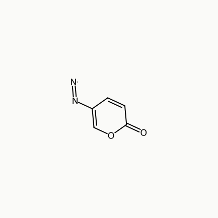 [N]=Nc1ccc(=O)oc1